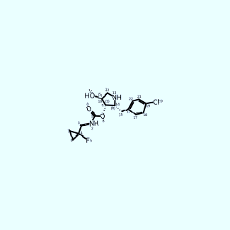 O=C(NCC1(F)CC1)O[C@@H]1[C@@H](O)CN[C@@H]1Cc1ccc(Cl)cc1